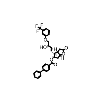 O=C1C[C@@H]2[C@@H](C=C[C@@H](O)COc3cccc(C(F)(F)F)c3)[C@H](OC(=O)c3ccc(-c4ccccc4)cc3)C[C@@H]2O1